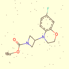 CC(C)(C)OC(=O)N1CC(N2CCOc3cc(F)ccc32)C1